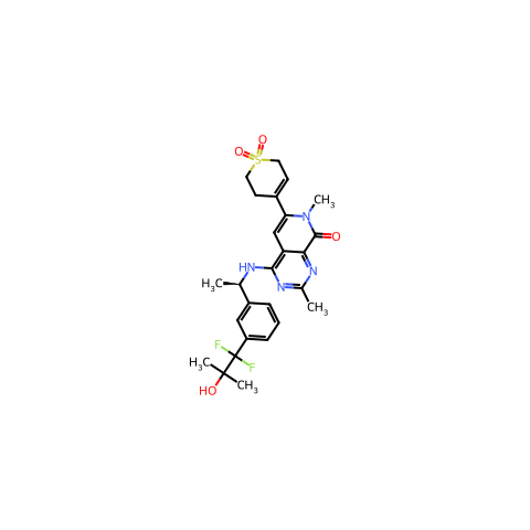 Cc1nc(N[C@H](C)c2cccc(C(F)(F)C(C)(C)O)c2)c2cc(C3=CCS(=O)(=O)CC3)n(C)c(=O)c2n1